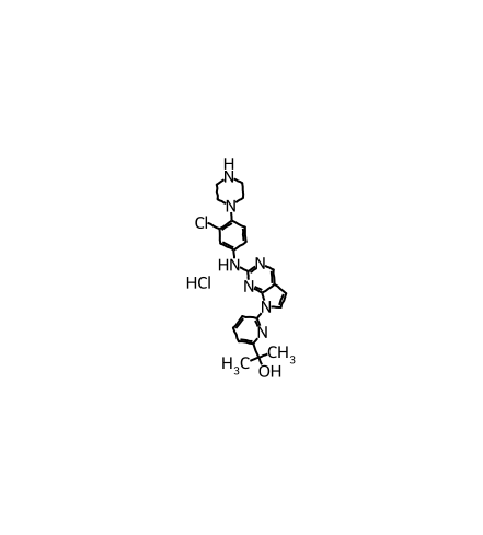 CC(C)(O)c1cccc(-n2ccc3cnc(Nc4ccc(N5CCNCC5)c(Cl)c4)nc32)n1.Cl